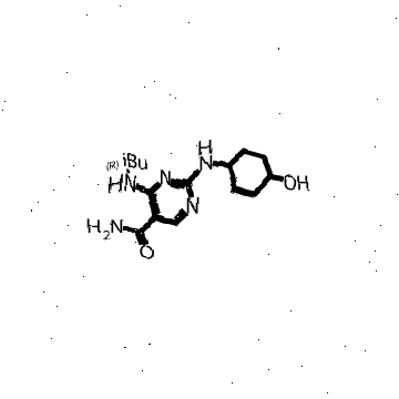 CC[C@@H](C)Nc1nc(NC2CCC(O)CC2)ncc1C(N)=O